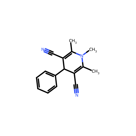 CC1=C(C#N)C(c2ccccc2)C(C#N)=C(C)N1C